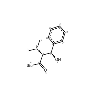 CN(C)[C@H](C(=O)C(C)(C)C)[C@H](O)c1ccccc1